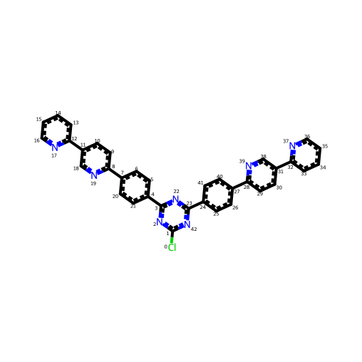 Clc1nc(-c2ccc(-c3ccc(-c4ccccn4)cn3)cc2)nc(-c2ccc(-c3ccc(-c4ccccn4)cn3)cc2)n1